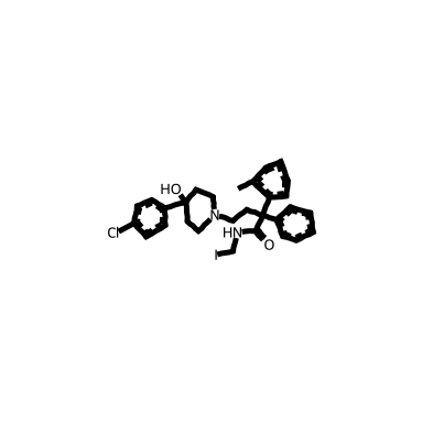 Cc1ccccc1C(CCN1CCC(O)(c2ccc(Cl)cc2)CC1)(C(=O)NCI)c1ccccc1